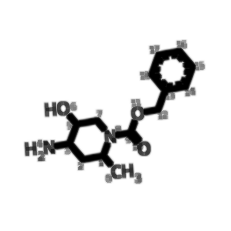 CC1CC(N)C(O)CN1C(=O)OCc1ccccc1